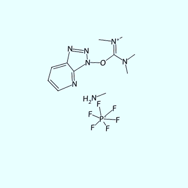 CN.CN(C)C(On1nnc2cccnc21)=[N+](C)C.F[P-](F)(F)(F)(F)F